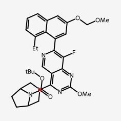 CCc1cccc2cc(OCOC)cc(-c3ncc4c(N5CC6CCC(C5)N6C(=O)OC(C)(C)C)nc(OC)nc4c3F)c12